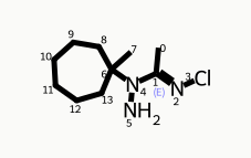 C/C(=N\Cl)N(N)C1(C)CCCCCC1